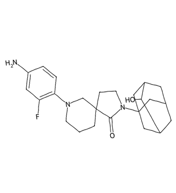 Nc1ccc(N2CCCC3(CCN(C45CC6CC(C4)C(O)C(C6)C5)C3=O)C2)c(F)c1